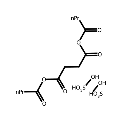 CCCC(=O)OC(=O)CCC(=O)OC(=O)CCC.O=S(=O)(O)O.O=S(=O)(O)O